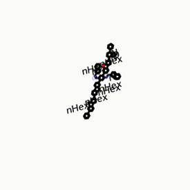 CCCCCCC1(CCCCCC)c2cc(-c3ccccc3)ccc2-c2ccc(-c3ccc4c(c3)C(CCCCCC)(CCCCCC)c3cc(-c5cc(/C=C/c6ccc7ccccc7n6)c(-c6ccc7c(c6)C(CCCCCC)(CCCCCC)c6cc(-c8ccc(-c9ccccc9)c9nonc89)ccc6-7)cc5/C=C\c5ccc6ccccc6n5)ccc3-4)cc21